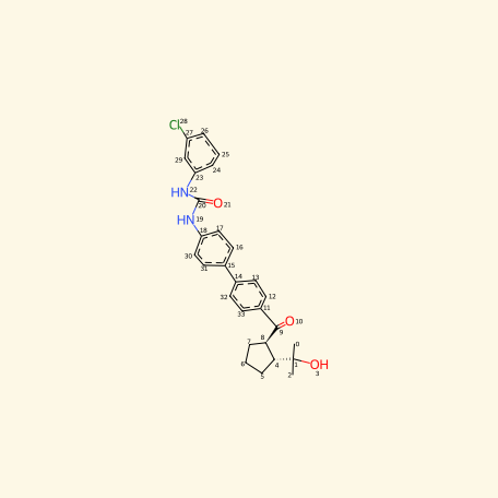 CC(C)(O)[C@@H]1CCC[C@H]1C(=O)c1ccc(-c2ccc(NC(=O)Nc3cccc(Cl)c3)cc2)cc1